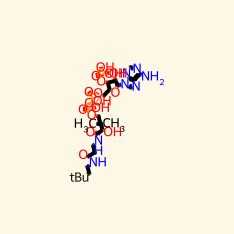 CC(C)(C)CCNC(=O)CCNC(=O)C(O)C(C)(C)COP(=O)(O)OP(=O)(O)OCC1OC(n2cnc3c(N)ncnc32)C(O)C1OP(=O)(O)O